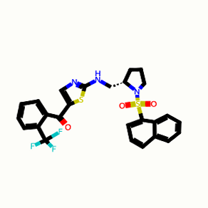 O=C(c1cnc(NC[C@@H]2CCCN2S(=O)(=O)c2cccc3ccccc23)s1)c1ccccc1C(F)(F)F